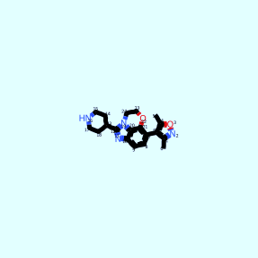 Cc1noc(C)c1-c1ccc2nc(C3CCNCC3)n3c2c1OCC3